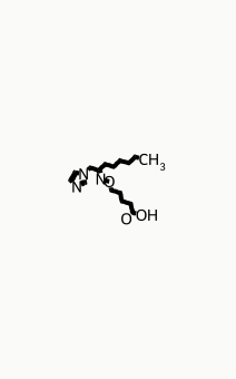 CCCCCCC(Cn1ccnc1)=NOCCCCC(=O)O